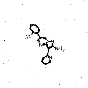 N#Cc1ccccc1-c1cnc2c(-c3ccccn3)c(N)nn2c1